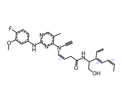 C#CN(/C=C\CC(=O)NC(CO)/C(C=C)=C/C=C\C)c1nc(Nc2ccc(F)c(OC)c2)ncc1C